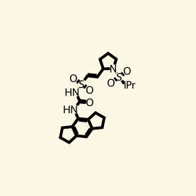 CC(C)S(=O)(=O)N1CCCC1C=CS(=O)(=O)NC(=O)Nc1c2c(cc3c1CCC3)CCC2